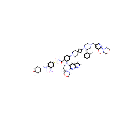 COc1cc(CN2CCN(C3CC4(CCN(c5ccc(C(=O)NS(=O)(=O)c6ccc(NC[C@H]7CC[C@](C)(O)CC7)c([N+](=O)[O-])c6)c(N6CC[C@H]7COCCN7c7nc8[nH]ccc8cc76)c5)CC4)C3)[C@H](c3ccccc3C)C2)cnc1N1CCOCC1